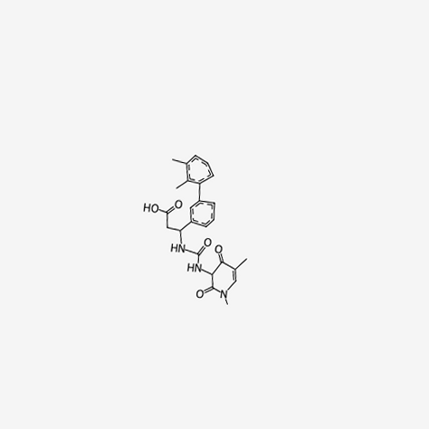 CC1=CN(C)C(=O)C(NC(=O)NC(CC(=O)O)c2cccc(-c3cccc(C)c3C)c2)C1=O